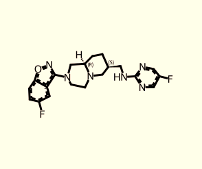 Fc1cnc(NC[C@@H]2CC[C@@H]3CN(c4noc5ccc(F)cc45)CCN3C2)nc1